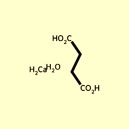 O.O=C(O)CCC(=O)O.[CaH2]